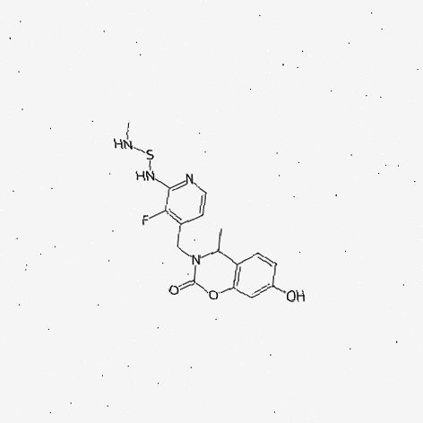 CNSNc1nccc(CN2C(=O)Oc3cc(O)ccc3C2C)c1F